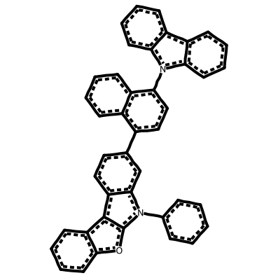 c1ccc(-n2c3cc(-c4ccc(-n5c6ccccc6c6ccccc65)c5ccccc45)ccc3c3c4ccccc4oc32)cc1